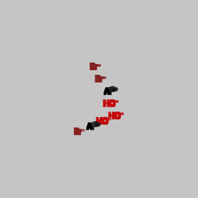 [Al+3].[Al+3].[Br-].[Br-].[Br-].[OH-].[OH-].[OH-]